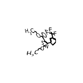 CCOC(=O)c1sc(OCC)nc1-c1cccc(C(F)(F)F)c1